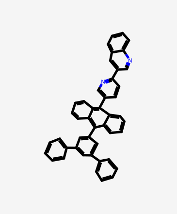 c1ccc(-c2cc(-c3ccccc3)cc(-c3c4ccccc4c(-c4ccc(-c5cnc6ccccc6c5)nc4)c4ccccc34)c2)cc1